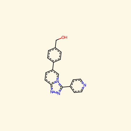 OCc1ccc(-c2ccc3nnc(-c4ccncc4)n3c2)cc1